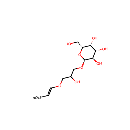 CCCCCCCCC=COCC(O)CO[C@H]1O[C@H](CO)[C@H](O)[C@H](O)[C@H]1O